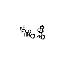 O=C(CCC(F)(F)F)N[C@H]1CC[C@H](CCN2CCCCC2c2coc3cccc-3c2)CC1